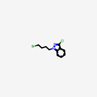 Clc1nn(CCCCBr)c2ccccc12